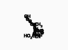 CN1C[C@H](OCCOCCOCCO)C[C@H]1COc1nc2c(c(N3CCN(C(=O)O)[C@@](CC#N)(C(C)(C)C)C3)n1)CCN(c1cccc3ccccc13)C2